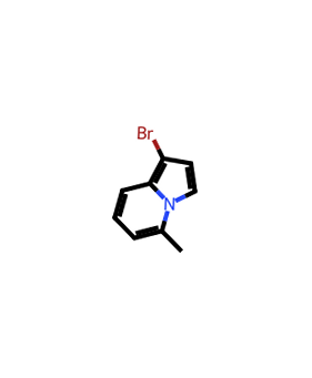 Cc1cccc2c(Br)ccn12